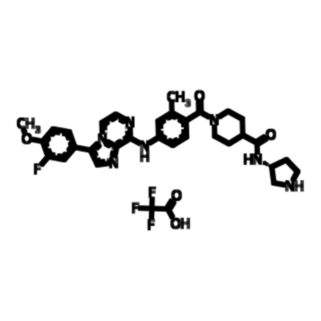 COc1ccc(-c2cnc3c(Nc4ccc(C(=O)N5CCC(C(=O)N[C@@H]6CCNC6)CC5)c(C)c4)nccn23)cc1F.O=C(O)C(F)(F)F